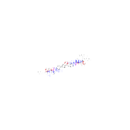 COC[C@H]1C[C@@H](c2nc3ccc4cc5c(cc4c3[nH]2)OCc2cc(-c3ccc4nc([C@@H]6CCCN6C(=O)[C@@H](NC(=O)OC)C(C)C)[nH]c4c3)ccc2-5)N(C(=O)[C@@H](NC(=O)OC)C(C)C)C1